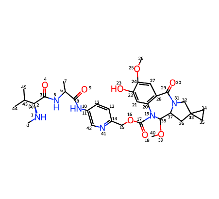 CN[C@H](C(=O)NC(C)C(=O)Nc1ccc(COC(=O)N2c3cc(O)c(OC)cc3C(=O)N3CC4(CC4)CC3C2OC)nc1)C(C)C